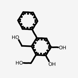 OCc1c(-c2ccccc2)cc(O)c(O)c1CO